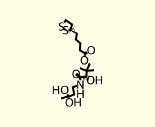 CC(O)(O)CCNC(=O)[C@H](O)C(C)(C)COC(=O)CCCC[C@@H]1CCSS1